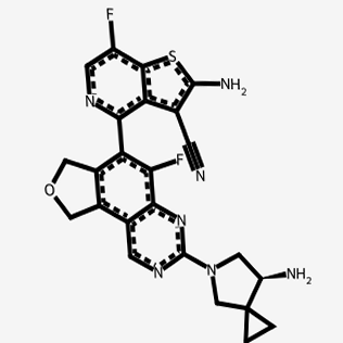 N#Cc1c(N)sc2c(F)cnc(-c3c4c(c5cnc(N6C[C@@H](N)C7(CC7)C6)nc5c3F)COC4)c12